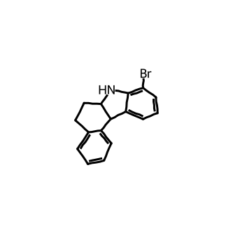 Brc1cccc2c1NC1CCc3ccccc3C21